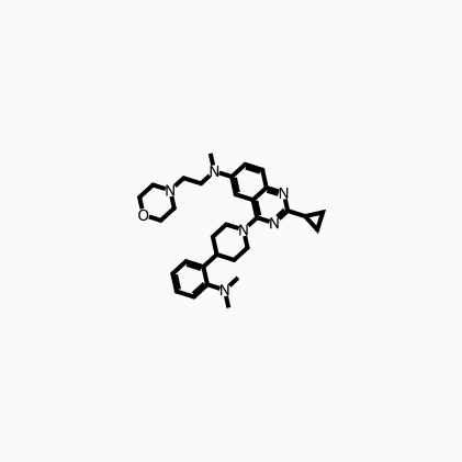 CN(C)c1ccccc1C1CCN(c2nc(C3CC3)nc3ccc(N(C)CCN4CCOCC4)cc23)CC1